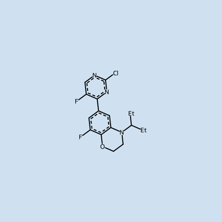 CCC(CC)N1CCOc2c(F)cc(-c3nc(Cl)ncc3F)cc21